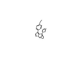 CCc1ccc(-c2ccc3cocc(Cl)c2-3)cc1